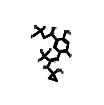 Cc1cc(F)c(/N=C(/NC2(C)CC2)C(F)(F)F)cc1[S+]([O-])CC(F)(F)F